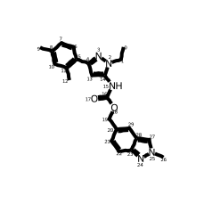 CCn1nc(-c2ccc(C)cc2C)cc1NC(=O)OCc1ccc2nn(C)cc2c1